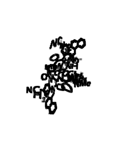 CN[C@@H](C)C(=O)N[C@H]1CN(C(=O)c2ccc(C(=O)C3C[C@@H](NC(=O)[C@H](C)NC)[NH+]([O-])N(Cc4c(C)ccc5ccccc45)c4ccc(C#N)cc43)cc2)c2cc(C#N)ccc2N(Cc2c(C)ccc3ccccc23)C1=O.Cl.Cl